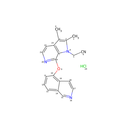 Cc1c(C)n(CC#N)c2c(Oc3cccc4cnccc34)nccc12.Cl